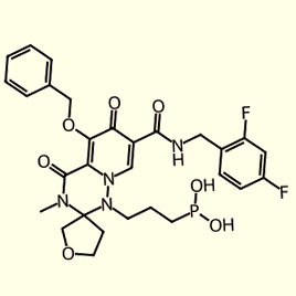 CN1C(=O)c2c(OCc3ccccc3)c(=O)c(C(=O)NCc3ccc(F)cc3F)cn2N(CCCP(O)O)C12CCOC2